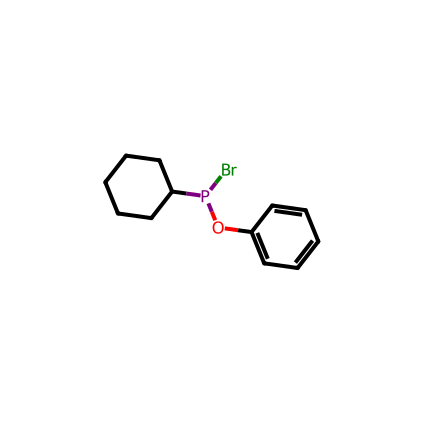 BrP(Oc1ccccc1)C1CCCCC1